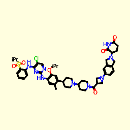 Cc1cc(Nc2ncc(Cl)c(Nc3ccccc3S(=O)(=O)C(C)C)n2)c(OC(C)C)cc1C1CCN(C2CCN(C(=O)C3CN(c4ccc5c(c4)CN(C4CCC(=O)NC4=O)C5)C3)CC2)CC1